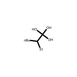 CCCCC(CC)C(O)(O)O